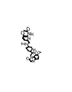 COc1ccc2ncc(=O)n(CC(N)C3CCC(NCc4ccc5c(n4)NC(=O)CO5)CC3)c2c1